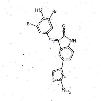 Nc1nc(-c2ccc3c(c2)/C(=C/c2cc(Br)c(O)c(Br)c2)C(=O)N3)cs1